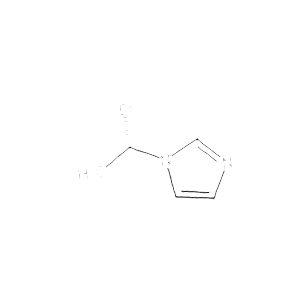 CC[C@@H](C)n1ccnc1